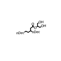 CCCCCCCCCCCCC(CCCCCCCCCC)CC(=O)OC(CO)CO